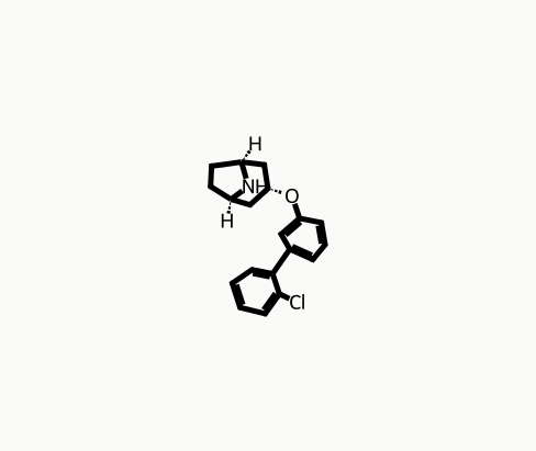 Clc1ccccc1-c1cccc(O[C@@H]2C[C@H]3CC[C@@H](C2)N3)c1